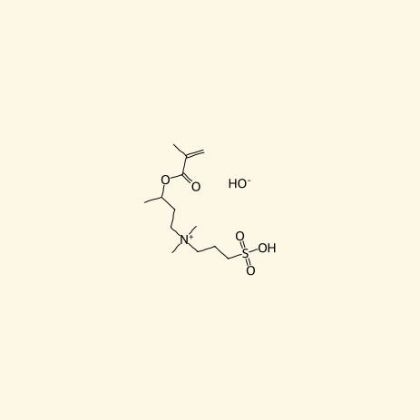 C=C(C)C(=O)OC(C)CC[N+](C)(C)CCCS(=O)(=O)O.[OH-]